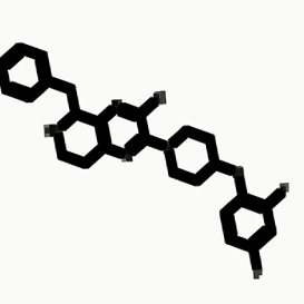 Fc1ccc(OC2CCN(c3nc4c(nc3Cl)C(Cc3ccccc3)NCC4)CC2)c(F)c1